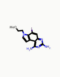 COCCn1ccc2c3c(N)nc(N)nc3cc(I)c21